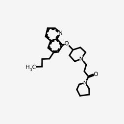 CCCCc1cc(OC2CCN(CCC(=O)N3CCCCC3)CC2)c2ncccc2c1